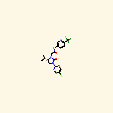 CC(C)[C@H]1CN(c2ncc(F)cn2)C(=O)N1CC(=O)Nc1ccc(C(F)(F)F)nc1